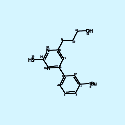 CC(C)(C)c1cccc(-c2cc(CCCO)nc(S)n2)c1